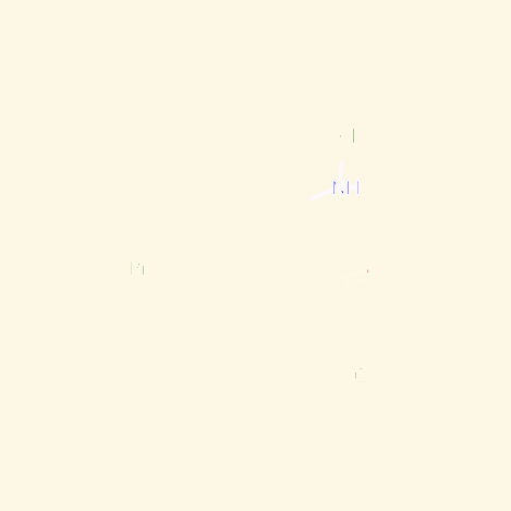 O=C(CCl)c1cc(Br)ccc1NCl